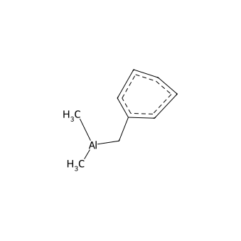 [CH3][Al]([CH3])[CH2]c1ccccc1